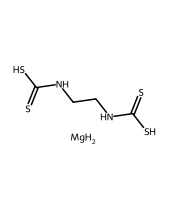 S=C(S)NCCNC(=S)S.[MgH2]